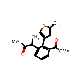 COC(=O)c1cccc(C(C)C(=O)OC)c1-c1csc(C)c1